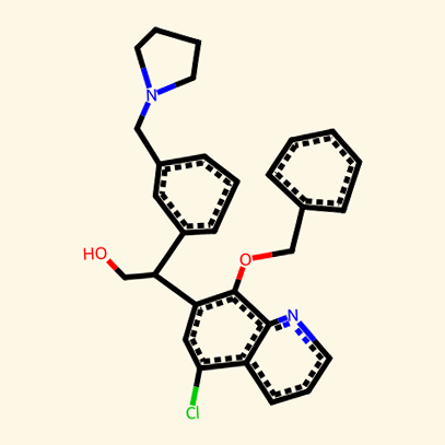 OCC(c1cccc(CN2CCCC2)c1)c1cc(Cl)c2cccnc2c1OCc1ccccc1